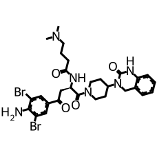 CN(C)CCCC(=O)N[C@H](CC(=O)c1cc(Br)c(N)c(Br)c1)C(=O)N1CCC(N2Cc3ccccc3NC2=O)CC1